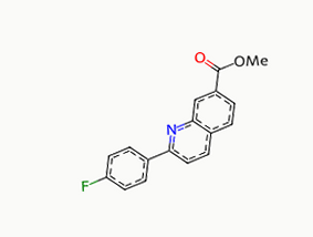 COC(=O)c1ccc2ccc(-c3ccc(F)cc3)nc2c1